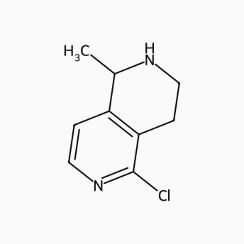 CC1NCCc2c1ccnc2Cl